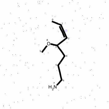 C/C=C\C(CCCN)OC